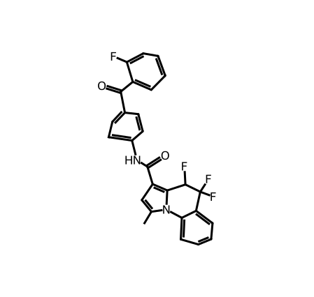 Cc1cc(C(=O)Nc2ccc(C(=O)c3ccccc3F)cc2)c2n1-c1ccccc1C(F)(F)C2F